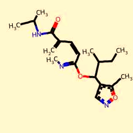 C=C(/C=C\C(=N/C)OC(c1cnoc1C)C(C)CC)C(=O)NC(C)C